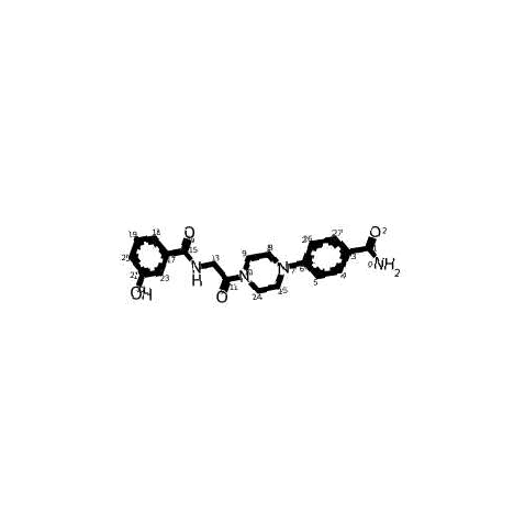 NC(=O)c1ccc(N2CCN(C(=O)CNC(=O)c3cccc(O)c3)CC2)cc1